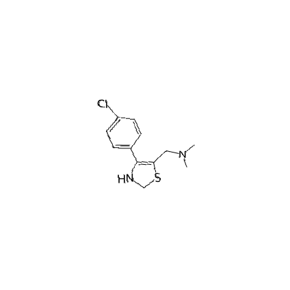 CN(C)CC1=C(c2ccc(Cl)cc2)NCS1